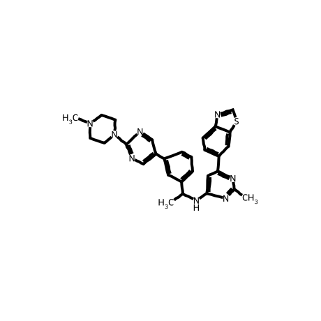 Cc1nc(NC(C)c2cccc(-c3cnc(N4CCN(C)CC4)nc3)c2)cc(-c2ccc3ncsc3c2)n1